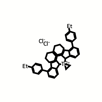 CCc1ccc(-c2cccc3c2C=C(C2CCCCC2)[CH]3[Ti+2]2([CH]3C(C4CCCCC4)=Cc4c(-c5ccc(CC)cc5)cccc43)[CH2][CH2]2)cc1.[Cl-].[Cl-]